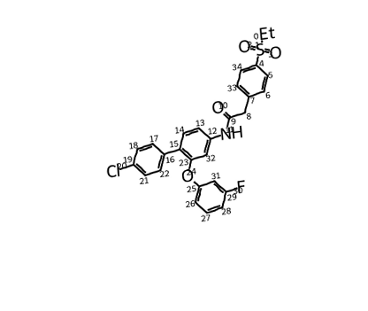 CCS(=O)(=O)c1ccc(CC(=O)Nc2ccc(-c3ccc(Cl)cc3)c(Oc3cccc(F)c3)c2)cc1